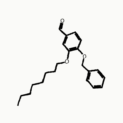 CCCCCCCCOc1cc(C=O)ccc1OCc1ccccc1